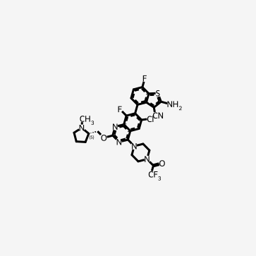 CN1CCC[C@H]1COc1nc(N2CCN(C(=O)C(F)(F)F)CC2)c2cc(Cl)c(-c3ccc(F)c4sc(N)c(C#N)c34)c(F)c2n1